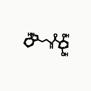 O=C(NCCc1c[nH]c2ccccc12)c1cc(O)ccc1O